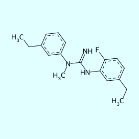 CCc1cccc(N(C)C(=N)Nc2cc(CC)ccc2F)c1